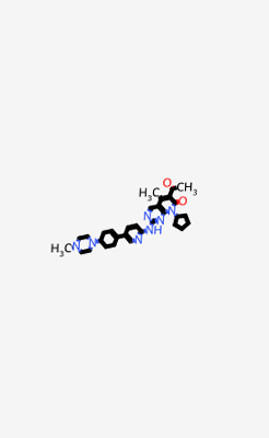 CC(=O)c1c(C)c2cnc(Nc3ccc(C4=CCC(N5CCN(C)CC5)CC4)cn3)nc2n(C2CCCC2)c1=O